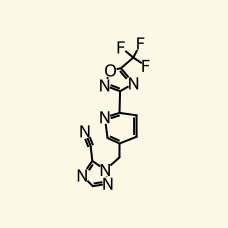 N#Cc1ncnn1Cc1ccc(-c2noc(C(F)(F)F)n2)nc1